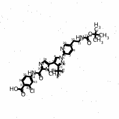 Cn1c(-c2cn(-c3ccc(CCNC(=O)OC(C)(C)C)cn3)nc2C(F)(F)F)cnc1C(=O)Nc1ccc(C(=O)O)c(Cl)c1